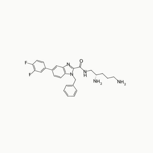 NCCC[C@H](N)CNC(=O)c1nc2cc(-c3ccc(F)c(F)c3)ccc2n1Cc1ccccc1